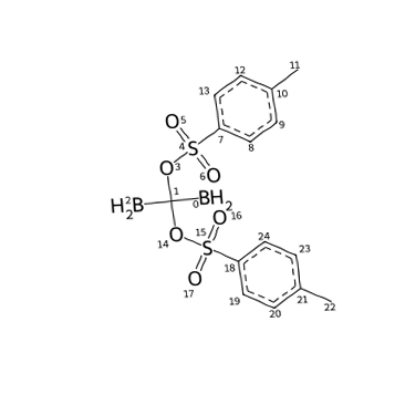 BC(B)(OS(=O)(=O)c1ccc(C)cc1)OS(=O)(=O)c1ccc(C)cc1